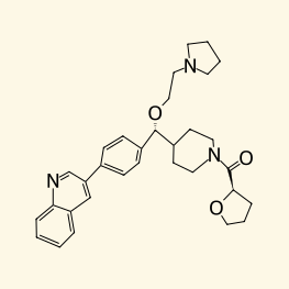 O=C([C@H]1CCCO1)N1CCC([C@@H](OCCN2CCCC2)c2ccc(-c3cnc4ccccc4c3)cc2)CC1